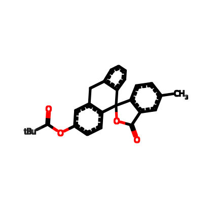 Cc1ccc2c(c1)C(=O)OC21c2ccccc2Cc2cc(OC(=O)C(C)(C)C)ccc21